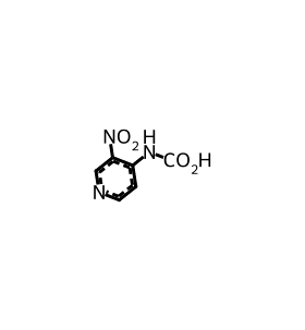 O=C(O)Nc1ccncc1[N+](=O)[O-]